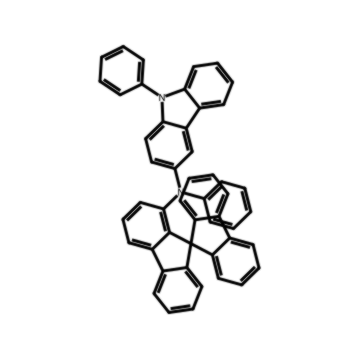 c1ccc(N(c2ccc3c(c2)c2ccccc2n3-c2ccccc2)c2cccc3c2C2(c4ccccc4-c4ccccc42)c2ccccc2-3)cc1